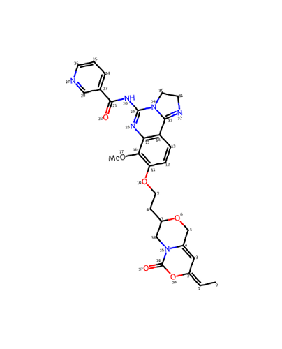 C/C=C1\C=C2COC(CCOc3ccc4c(c3OC)N=C(NC(=O)c3cccnc3)N3CCN=C43)CN2C(=O)O1